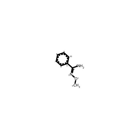 CO/N=C(\N)c1ccccc1